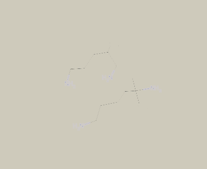 CC(C)(N)CCCCN.CC(CN)CCCN